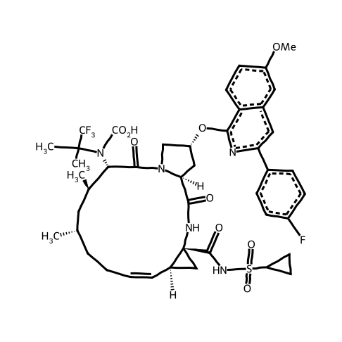 COc1ccc2c(O[C@@H]3C[C@H]4C(=O)N[C@]5(C(=O)NS(=O)(=O)C6CC6)C[C@H]5/C=C\CC[C@H](C)C[C@@H](C)[C@H](N(C(=O)O)C(C)(C)C(F)(F)F)C(=O)N4C3)nc(-c3ccc(F)cc3)cc2c1